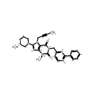 CC#CCn1c(N2CCC[C@@H](N)C2)nc2c1c(=O)n(Cc1ccnc(-c3ccccc3)n1)c(=O)n2C